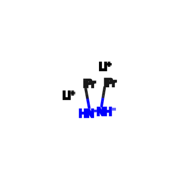 CC(C)[NH-].CC(C)[NH-].[Li+].[Li+]